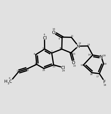 CC#Cc1cc(Cl)c(C2C(=O)CN(Cc3ccc(F)cn3)C2=O)c(Cl)c1